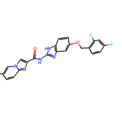 O=C(Nc1nc2cc(OCc3ccc(F)cc3F)ccc2[nH]1)c1cn2cc(Cl)ccc2n1